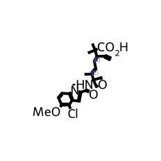 C#C/C(=C\C=C(/C)C1(NC(=O)c2cc3c(Cl)c(OC)ccc3n2C)COC1)C(C)(C)C(=O)O